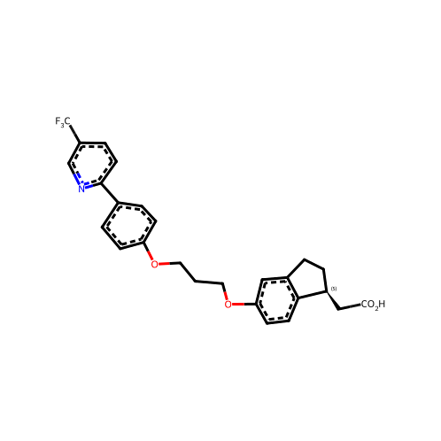 O=C(O)C[C@@H]1CCc2cc(OCCCOc3ccc(-c4ccc(C(F)(F)F)cn4)cc3)ccc21